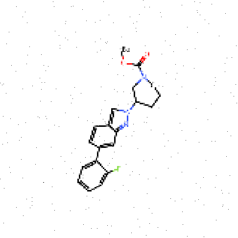 CC(C)(C)OC(=O)N1CCCC(n2cc3ccc(-c4ccccc4F)cc3n2)C1